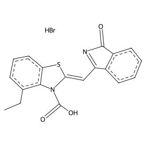 Br.CCc1cccc2c1N(C(=O)O)C(=CC1=NC(=O)c3ccccc31)S2